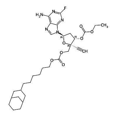 C#C[C@]1(COC(=O)OCCCCCCC2CC3CCCC(C2)C3)O[C@@H](n2cnc3c(N)nc(F)nc32)C[C@@H]1OC(=O)OCC